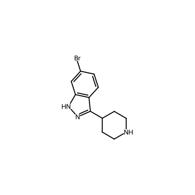 Brc1ccc2c(C3CCNCC3)n[nH]c2c1